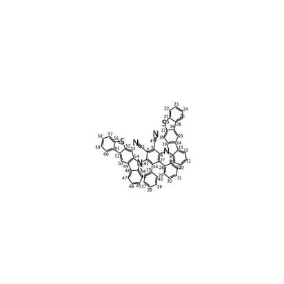 N#Cc1c(C#N)c(-n2c3ccccc3c3cc4c(cc32)sc2ccccc24)c(-c2ccccc2)c(-c2ccccc2)c1-n1c2ccccc2c2cc3c(cc21)sc1ccccc13